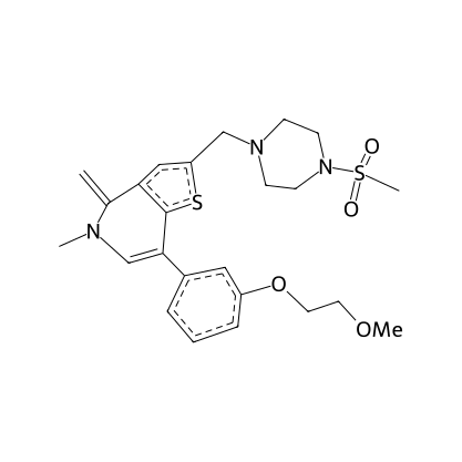 C=C1c2cc(CN3CCN(S(C)(=O)=O)CC3)sc2C(c2cccc(OCCOC)c2)=CN1C